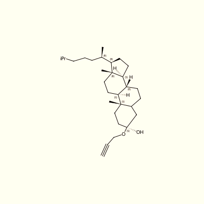 C#CCO[C@@]1(O)CC[C@@]2(C)C(CC[C@H]3[C@@H]4CC[C@H]([C@H](C)CCCC(C)C)[C@@]4(C)CC[C@@H]32)C1